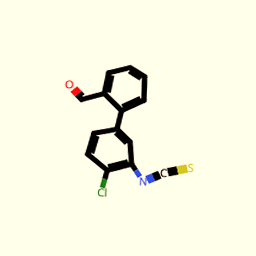 O=Cc1ccccc1-c1ccc(Cl)c(N=C=S)c1